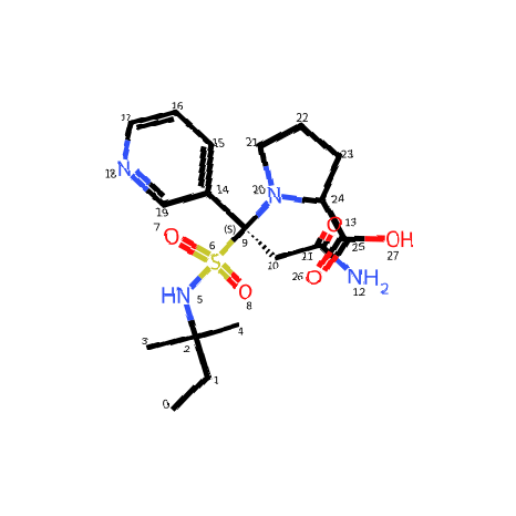 CCC(C)(C)NS(=O)(=O)[C@@](CC(N)=O)(c1cccnc1)N1CCCC1C(=O)O